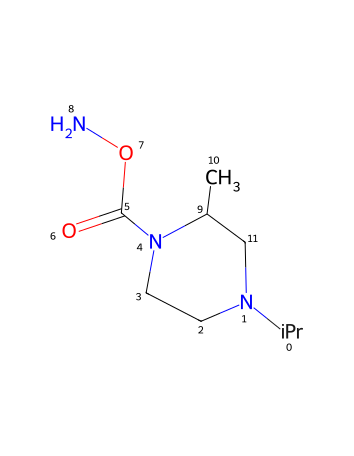 CC(C)N1CCN(C(=O)ON)C(C)C1